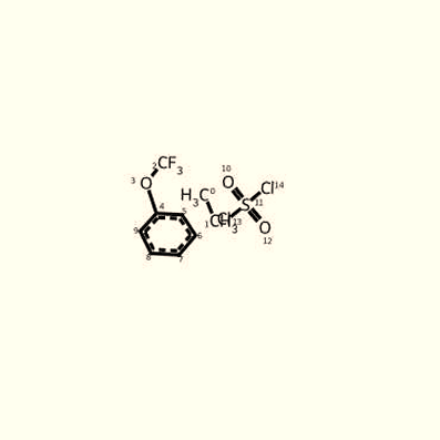 CC.FC(F)(F)Oc1ccccc1.O=S(=O)(Cl)Cl